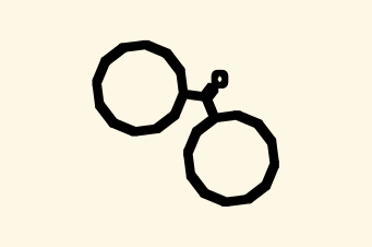 O=C(C1CCCCCCCCCCC1)C1CCCCCCCCCCC1